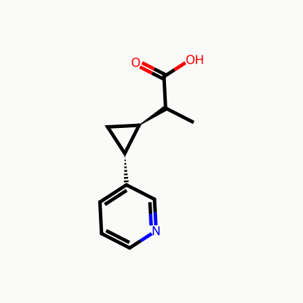 CC(C(=O)O)[C@@H]1C[C@H]1c1cccnc1